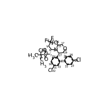 CC(C)(C)S(=O)(=O)C[C@H](CC(F)(F)F)N1C(=O)CO[C@H](c2cccc(Cl)c2)[C@H]1c1ccc(Cl)cc1